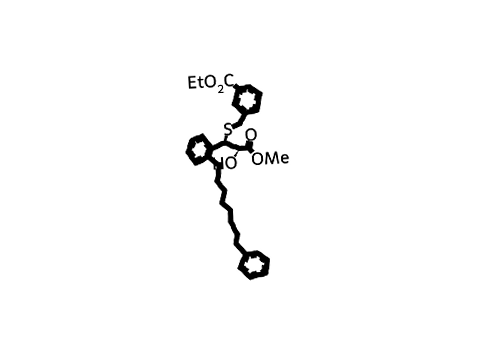 CCOC(=O)c1cccc(CS[C@H](c2ccccc2CCCCCCCCc2ccccc2)[C@@H](O)C(=O)OC)c1